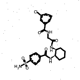 NS(=O)(=O)c1ccc(C(=O)N[C@@H]2CCCC[C@@H]2NC(=O)CNC(=O)c2cccc(Cl)c2)cc1